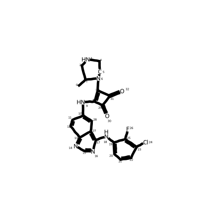 CC1CNCCN1c1c(Nc2ccc3ncnc(Nc4cccc(Cl)c4F)c3c2)c(=O)c1=O